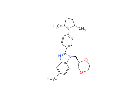 C[C@H]1CC[C@H](C)N1c1ccc(-c2nc3cc(C(=O)O)ccc3n2C[C@@H]2COCCO2)cn1